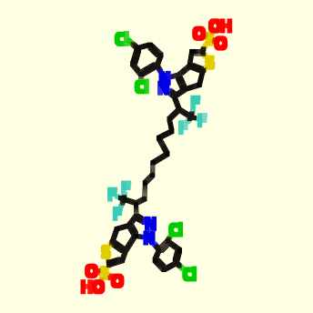 O=S(=O)(O)c1cc2c(s1)Cc1c(C(CCCCCCCCC(c3nn(-c4ccc(Cl)cc4Cl)c4c3Cc3sc(S(=O)(=O)O)cc3-4)C(F)(F)F)C(F)(F)F)nn(-c3ccc(Cl)cc3Cl)c1-2